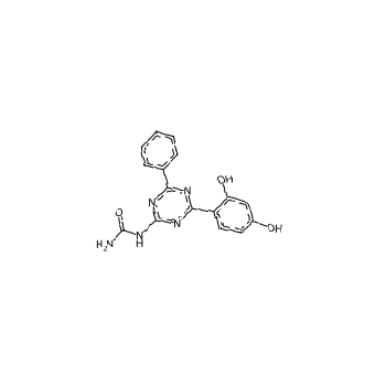 NC(=O)Nc1nc(-c2ccccc2)nc(-c2ccc(O)cc2O)n1